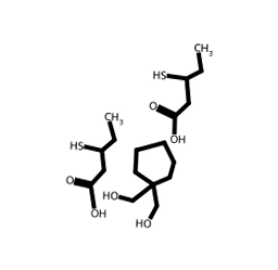 CCC(S)CC(=O)O.CCC(S)CC(=O)O.OCC1(CO)CCCCC1